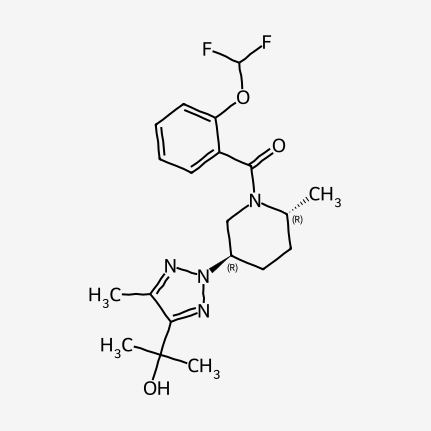 Cc1nn([C@@H]2CC[C@@H](C)N(C(=O)c3ccccc3OC(F)F)C2)nc1C(C)(C)O